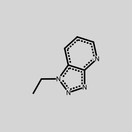 CCn1nnc2ncccc21